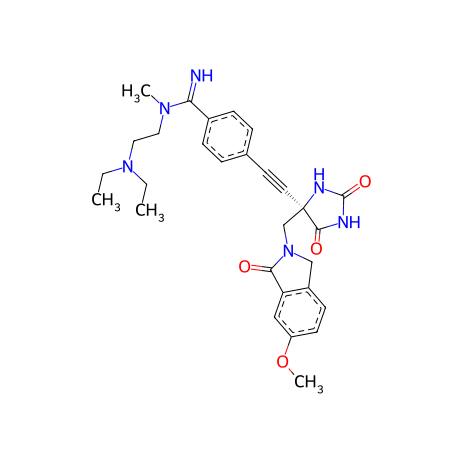 CCN(CC)CCN(C)C(=N)c1ccc(C#C[C@]2(CN3Cc4ccc(OC)cc4C3=O)NC(=O)NC2=O)cc1